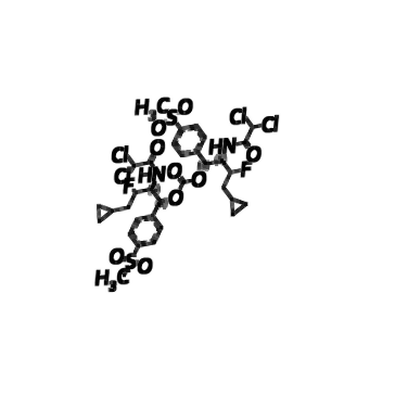 CS(=O)(=O)c1ccc([C@@H](OC(=O)O[C@H](c2ccc(S(C)(=O)=O)cc2)[C@H](NC(=O)C(Cl)Cl)C(F)CC2CC2)[C@H](NC(=O)C(Cl)Cl)C(F)CC2CC2)cc1